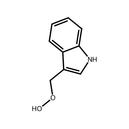 OOCc1c[nH]c2ccccc12